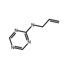 C=CC[N]c1ncncn1